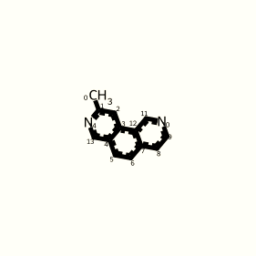 Cc1cc2c(ccc3ccncc32)cn1